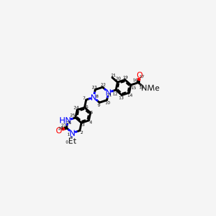 CCN1Cc2ccc(CN3CCN(c4ccc(C(=O)NC)cc4C)CC3)cc2NC1=O